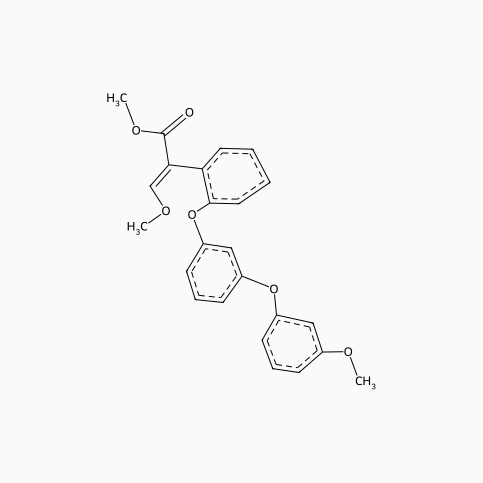 CO/C=C(/C(=O)OC)c1ccccc1Oc1cccc(Oc2cccc(OC)c2)c1